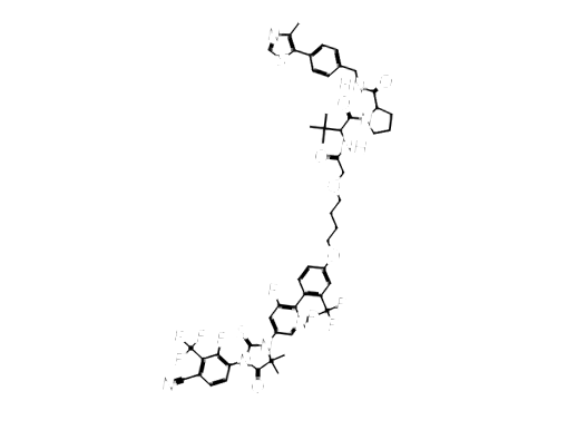 Cc1ncsc1-c1ccc(CNC(=O)C2CCCN2C(=O)C(NC(=O)COCCCCOc2ccc(-c3ncc(N4C(=S)N(c5ccc(C#N)c(C(F)(F)F)c5F)C(=O)C4(C)C)cc3F)c(C(F)(F)F)c2)C(C)(C)C)cc1